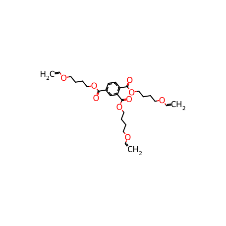 C=COCCCCOC(=O)c1ccc(C(=O)OCCCCOC=C)c(C(=O)OCCCCOC=C)c1